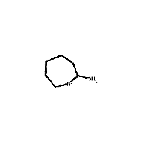 NC1CCCCC[N]1